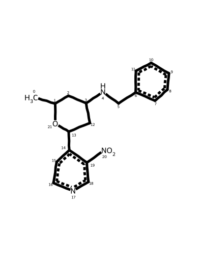 CC1CC(NCc2ccccc2)CC(c2ccncc2[N+](=O)[O-])O1